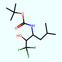 CC(C)CC(NC(=O)OC(C)(C)C)C(O)C(F)(F)F